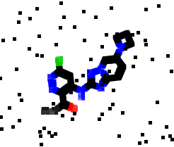 CNC(=O)c1nnc(Cl)cc1Nc1nc2ccc(N3CCC3)cn2n1